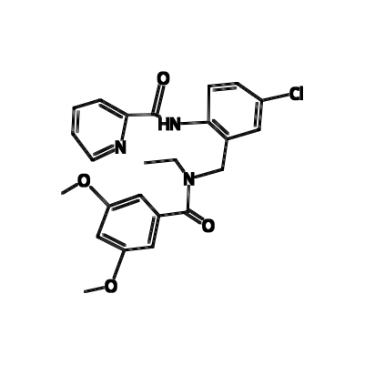 CCN(Cc1cc(Cl)ccc1NC(=O)c1ccccn1)C(=O)c1cc(OC)cc(OC)c1